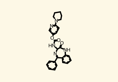 O=C(NC1N=C(c2ccccc2)c2ccccc2NC1=O)Oc1ccc(N2CCCCC2)nc1